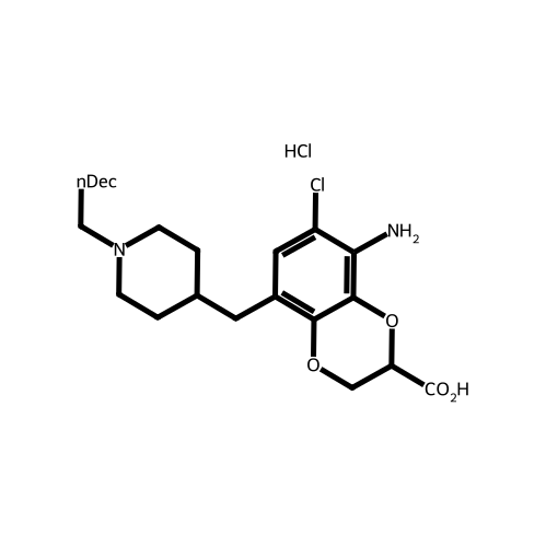 CCCCCCCCCCCN1CCC(Cc2cc(Cl)c(N)c3c2OCC(C(=O)O)O3)CC1.Cl